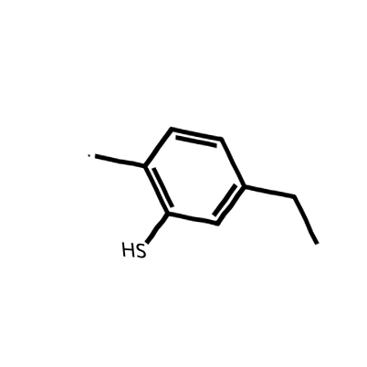 [CH2]c1ccc(CC)cc1S